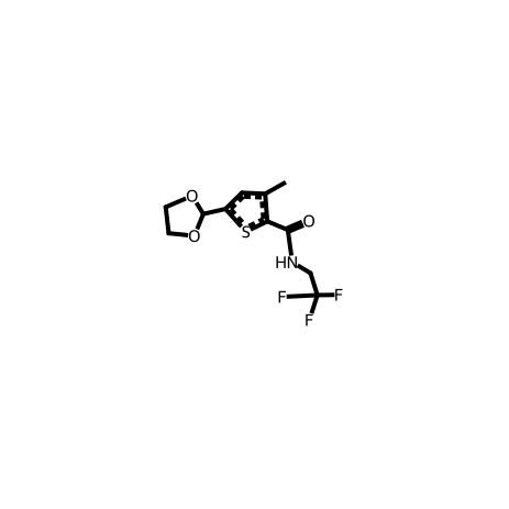 Cc1cc(C2OCCO2)sc1C(=O)NCC(F)(F)F